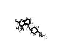 Cc1cc(N)c2c(O[C@H]3CC[C@H](CN)CC3)cccc2n1